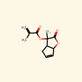 C=C(C)C(=O)OC1(C(F)(F)F)C(=O)OC2C=CCC21